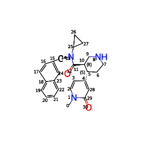 Cn1ccc([C@H]2CCNC[C@@H]2C(=O)N(Cc2ccc3ccccc3c2)C2CC2)cc1=O